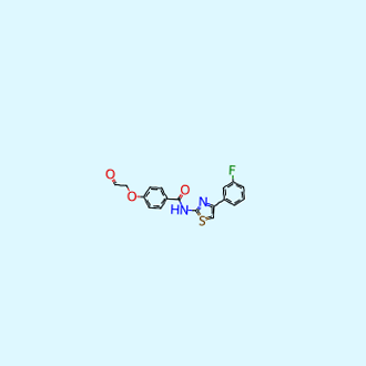 O=CCOc1ccc(C(=O)Nc2nc(-c3cccc(F)c3)cs2)cc1